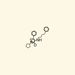 O=c1c(NCCCCc2ccccc2)c(-c2ccccc2)sn1C1CCCC1